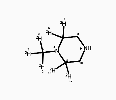 [2H]C([2H])([2H])N1C([2H])([2H])CNCC1([2H])[2H]